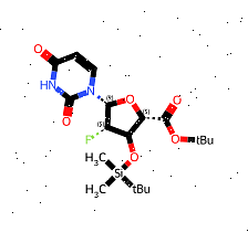 CC(C)(C)OC(=O)[C@H]1O[C@@H](n2ccc(=O)[nH]c2=O)[C@@H](F)C1O[Si](C)(C)C(C)(C)C